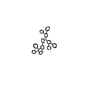 c1ccc(-c2ccc(N(c3cccc(-c4ccc5c(c4)c(-c4ccccc4)c(-c4ccccc4)c4ccccc45)c3)c3ccc(-c4ccccc4)c(-c4ccccc4)c3)cc2-c2ccccc2)cc1